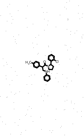 Cc1ccc(C(CNc2ccccc2)C(=O)N2CCCC2c2ccccc2Cl)cc1